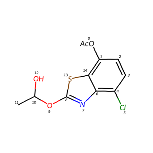 CC(=O)Oc1ccc(Cl)c2nc(OC(C)O)sc12